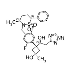 C[C@H]1CC[C@H](c2ccccc2)S(=O)(=O)N1Cc1cc(F)c([C@]2([C@@H](O)Cc3nc[nH]n3)C[C@](C)(O)C2)cc1F